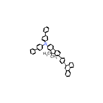 CC1(C)c2cc(-c3ccc(-c4cc5ccccc5c5ccccc45)cc3)ccc2-c2ccc(N(c3ccc(-c4ccccc4)cc3)c3ccc(-c4ccccc4)cc3)cc21